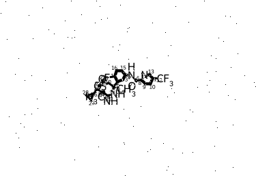 C[C@@]1(c2cc(NC(=O)c3ccc(C(F)(F)F)cn3)ccc2F)CS(=O)(=O)[C@](C)(CC2CC2)C(=N)N1